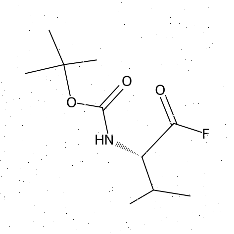 CC(C)[C@H](NC(=O)OC(C)(C)C)C(=O)F